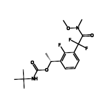 CON(C)C(=O)C(F)(F)c1cccc([C@@H](C)OC(=O)NC(C)(C)C)c1F